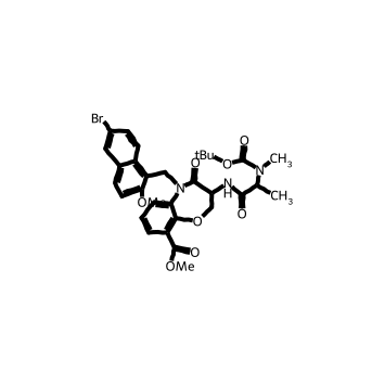 COC(=O)c1cccc2c1OCC(NC(=O)C(C)N(C)C(=O)OC(C)(C)C)C(=O)N2Cc1c(OC)ccc2cc(Br)ccc12